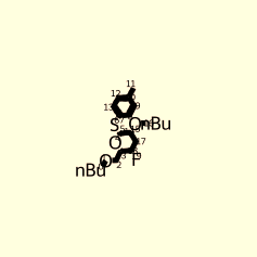 CCCCOCC1OC(Sc2ccc(C)cc2)C(OCCCC)CC1F